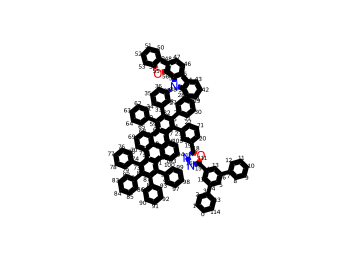 c1ccc(-c2cc(-c3ccccc3)cc(-c3nnc(-c4cccc(-c5c(-c6ccccc6)c(-c6cccc(-n7c8ccccc8c8ccc9c%10ccccc%10oc9c87)c6)c(-c6ccccc6)c6c7cccc8c9c(-c%10ccccc%10)c(-c%10ccccc%10)c(-c%10ccccc%10)c(-c%10ccccc%10)c9c9cccc(c56)c9c87)c4)o3)c2)cc1